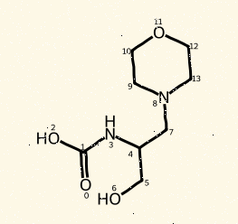 O=C(O)NC(CO)CN1CCOCC1